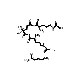 CC(=O)[C@](N)(CCC(=O)OC(=O)[C@@H](N)CCCNC(N)=O)C(=O)OC(=O)[C@@H](N)CCCNC(N)=O.NCCC[C@@H](N)C(=O)O